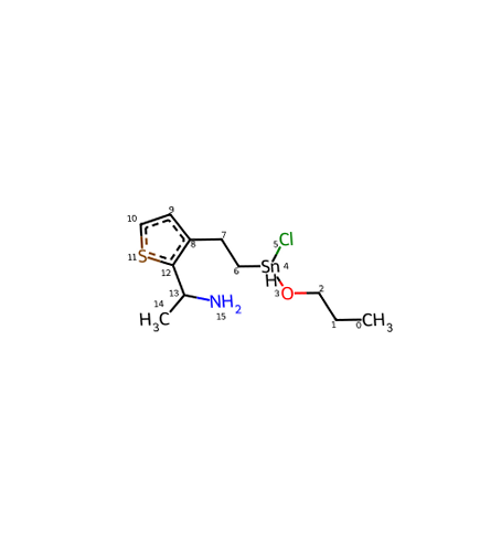 CCC[O][SnH]([Cl])[CH2]Cc1ccsc1C(C)N